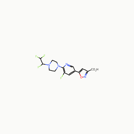 O=C(O)c1cc(-c2cnc(N3CCN(C(F)C(F)F)CC3)c(F)c2)on1